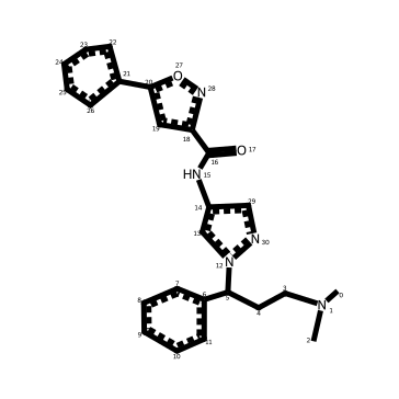 CN(C)CCC(c1ccccc1)n1cc(NC(=O)c2cc(-c3ccccc3)on2)cn1